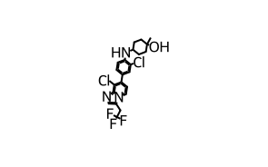 CC1(O)CCC(Nc2ccc(-c3ccn4c(CC(F)(F)F)cnc4c3Cl)cc2Cl)CC1